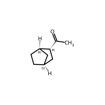 CC(=O)[C@@H]1C[C@H]2CC[C@@H]1C2